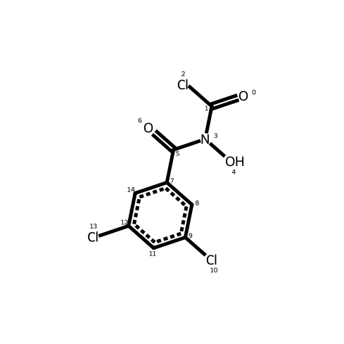 O=C(Cl)N(O)C(=O)c1cc(Cl)cc(Cl)c1